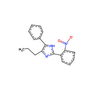 CCCc1nc(-c2ccccc2[N+](=O)[O-])[nH]c1-c1ccccc1